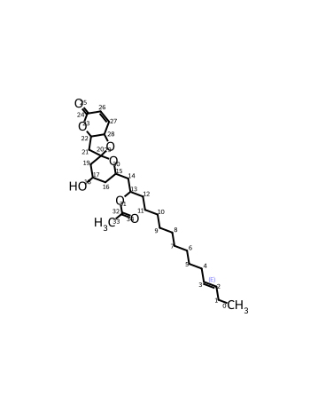 CC/C=C/CCCCCCCCCC(CC1CC(O)CC2(CC3OC(=O)C=CC3O2)O1)OC(C)=O